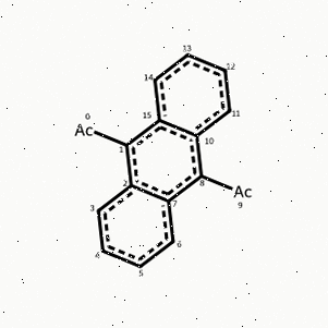 CC(=O)c1c2ccccc2c(C(C)=O)c2ccccc12